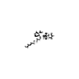 C=Cc1ccncc1.CCCCCCCCCCCCOS(=O)(=O)c1ccccc1